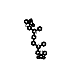 c1ccc(-c2cc(-c3ccc4c(c3)C3(c5ccccc5O4)c4ccccc4-c4ccccc43)cc(-c3ccc(-c4cccc(-c5cc(-c6cccc7c6Oc6ccccc6C76c7ccccc7-c7ccccc76)cc(-c6ccccc6)n5)c4)cc3)n2)cc1